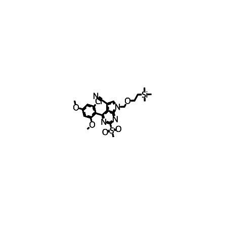 COc1cc(Cl)c(-c2nc(S(C)(=O)=O)nc3c2c(C#N)cn3COCC[Si](C)(C)C)c(OC)c1